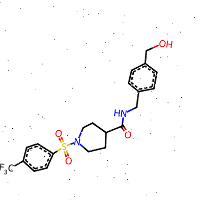 O=C(NCc1ccc(CO)cc1)C1CCN(S(=O)(=O)c2ccc(C(F)(F)F)cc2)CC1